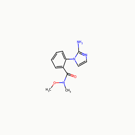 CON(C)C(=O)c1ccccc1-n1ccnc1N